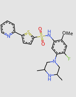 COc1cc(F)c(N2CC(C)NC(C)C2)cc1NS(=O)(=O)c1ccc(-c2ccccn2)s1